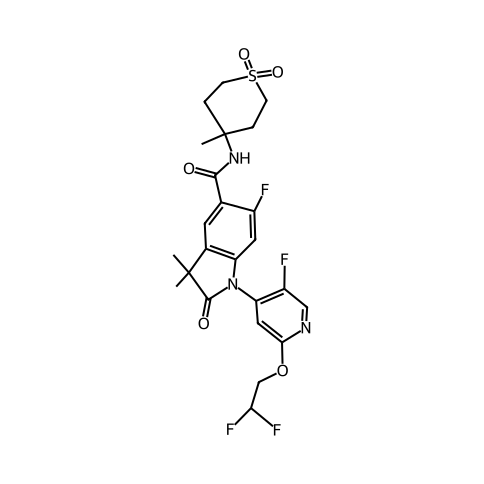 CC1(NC(=O)c2cc3c(cc2F)N(c2cc(OCC(F)F)ncc2F)C(=O)C3(C)C)CCS(=O)(=O)CC1